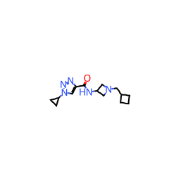 O=C(NC1CN(CC2CCC2)C1)c1cn(C2CC2)nn1